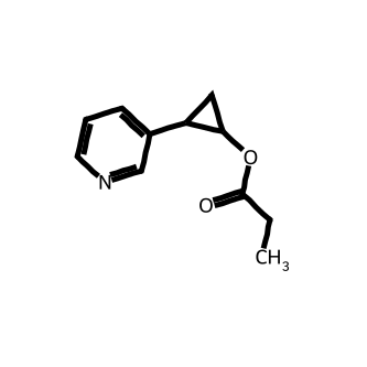 CCC(=O)OC1CC1c1cccnc1